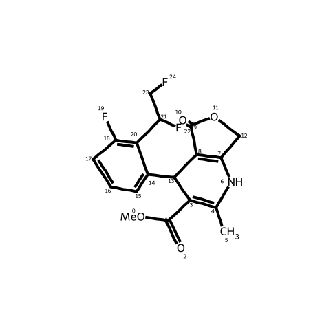 COC(=O)C1=C(C)NC2=C(C(=O)OC2)C1c1cccc(F)c1C(F)CF